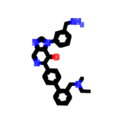 CCN(C)Cc1ccccc1-c1ccc(C2N=Cc3ncn(-c4cccc(CN)c4)c3C2=O)cc1